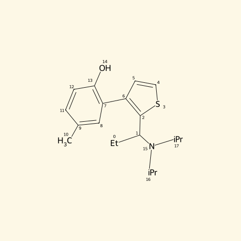 CCC(c1sccc1-c1cc(C)ccc1O)N(C(C)C)C(C)C